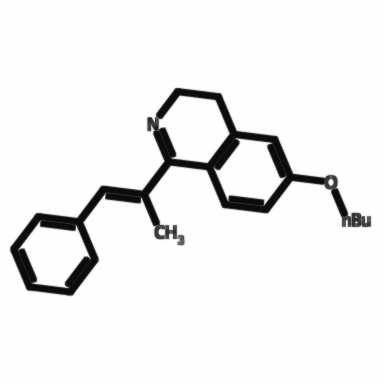 CCCCOc1ccc2c(c1)CCN=C2/C(C)=C/c1ccccc1